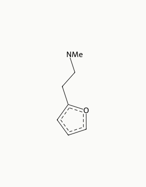 [CH2]NCCc1ccco1